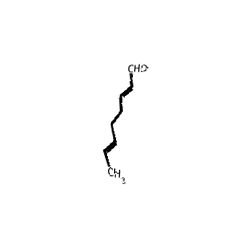 CC=CCCC=C[C]=O